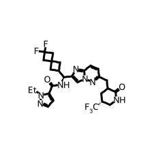 CCn1nccc1C(=O)N[C@H](c1cn2nc(CC3C[C@@H](C(F)(F)F)CNC3=O)ccc2n1)C1CC2(C1)CC(F)(F)C2